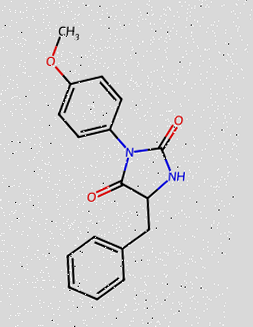 COc1ccc(N2C(=O)NC(Cc3ccccc3)C2=O)cc1